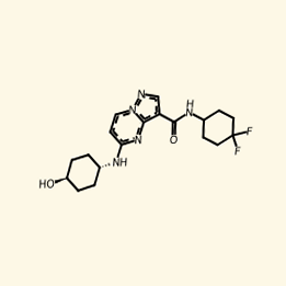 O=C(NC1CCC(F)(F)CC1)c1cnn2ccc(N[C@H]3CC[C@H](O)CC3)nc12